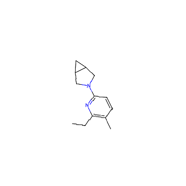 CCc1nc(N2CC3CC3C2)ccc1C